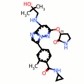 Cc1cc(-c2cnc3c(NCC(C)(C)O)cc(O[C@H]4CCNC4=O)nn23)ccc1C(=O)NC1CC1